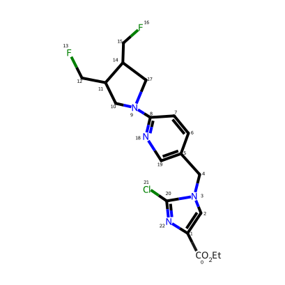 CCOC(=O)c1cn(Cc2ccc(N3CC(CF)C(CF)C3)nc2)c(Cl)n1